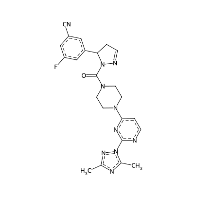 Cc1nc(C)n(-c2nccc(N3CCN(C(=O)N4N=CCC4c4cc(F)cc(C#N)c4)CC3)n2)n1